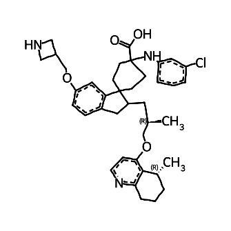 C[C@@H](COc1ccnc2c1[C@H](C)CCC2)CC1Cc2ccc(OCC3CNC3)cc2C12CCC(Nc1cccc(Cl)c1)(C(=O)O)CC2